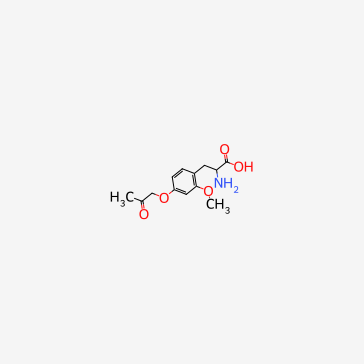 COc1cc(OCC(C)=O)ccc1CC(N)C(=O)O